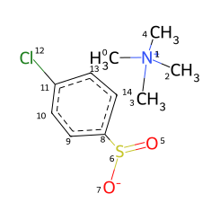 C[N+](C)(C)C.O=S([O-])c1ccc(Cl)cc1